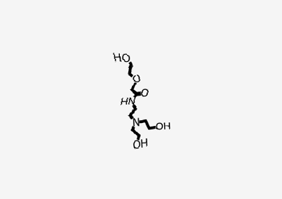 O=C(COCCO)NCCN(CCO)CCO